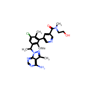 COc1c(C(C)n2nc(C)c3c(N)ncnc32)cc(Cl)c(C)c1-c1cncc(C(=O)N(C)CCO)c1